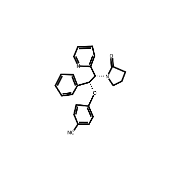 N#Cc1ccc(O[C@H](c2ccccc2)[C@H](c2ccccn2)N2CCCC2=O)cc1